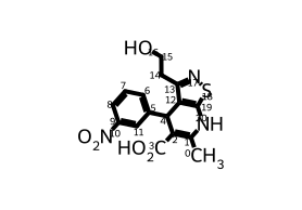 CC1=C(C(=O)O)C(c2cccc([N+](=O)[O-])c2)c2c(CCO)nsc2N1